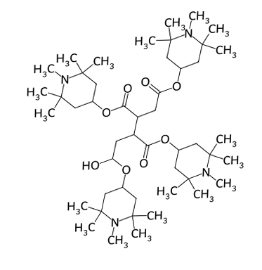 CN1C(C)(C)CC(OC(=O)CC(C(=O)OC2CC(C)(C)N(C)C(C)(C)C2)C(CC(O)OC2CC(C)(C)N(C)C(C)(C)C2)C(=O)OC2CC(C)(C)N(C)C(C)(C)C2)CC1(C)C